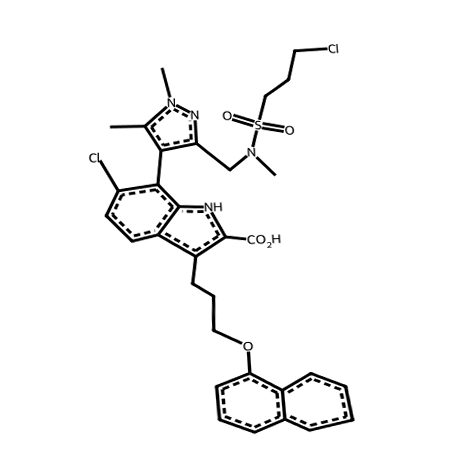 Cc1c(-c2c(Cl)ccc3c(CCCOc4cccc5ccccc45)c(C(=O)O)[nH]c23)c(CN(C)S(=O)(=O)CCCCl)nn1C